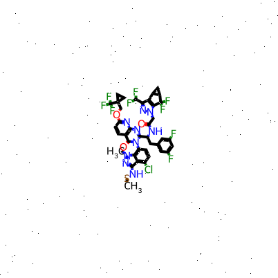 CSNc1nn(C)c2c(-n3c(C(Cc4cc(F)cc(F)c4)NC(=O)Cn4nc(C(F)F)c5c4C(F)(F)C4CC54)nc4nc(OCC5(C(F)(F)F)CC5)ccc4c3=O)ccc(Cl)c12